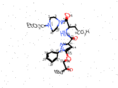 CCOC(=O)N1CCN(C(=O)C(CC(=O)O)NC(=O)c2cc(OCC(=O)C(C)(C)C)n(-c3ccccc3)n2)CC1